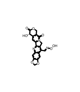 O=C1OCc2c(cc3n(c2=O)Cc2c-3nc3cc4c(cc3c2/C=N/OO)OCO4)[C@@H]1O